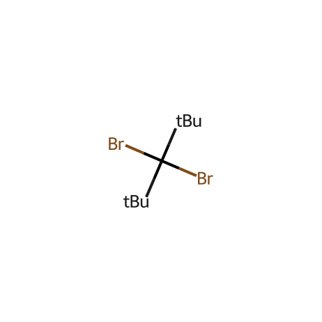 CC(C)(C)C(Br)(Br)C(C)(C)C